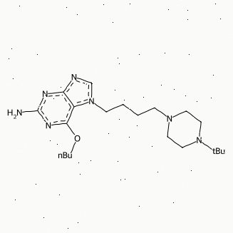 CCCCOc1nc(N)nc2ncn(CCCCN3CCN(C(C)(C)C)CC3)c12